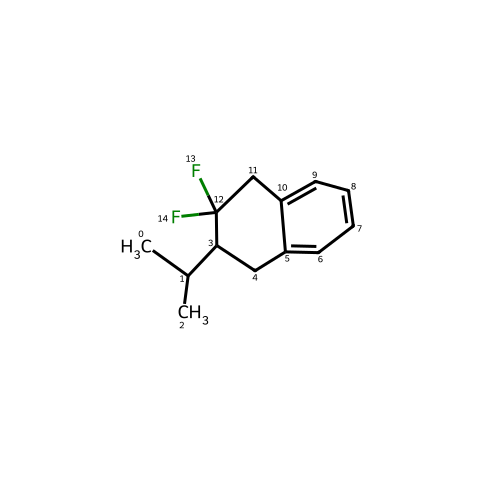 CC(C)C1Cc2ccccc2CC1(F)F